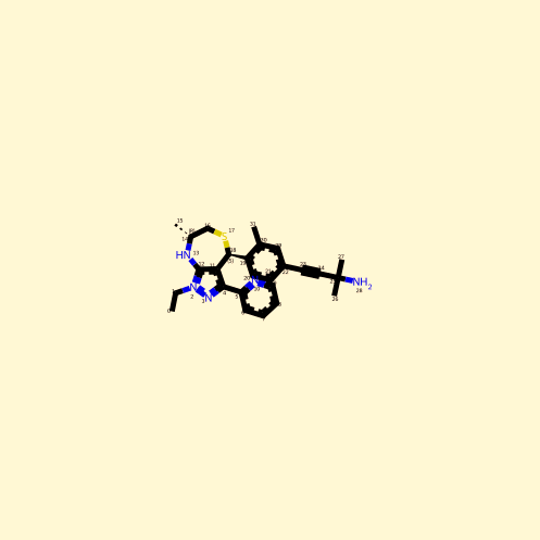 CCn1nc(-c2ccccn2)c2c1N[C@H](C)CS[C@H]2c1ccc(C#CC(C)(C)N)cc1C